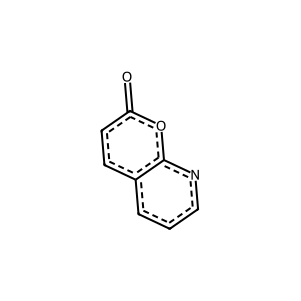 O=c1ccc2cccnc2o1